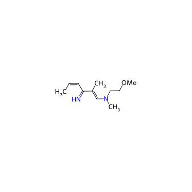 C/C=C\C(=N)/C(C)=C/N(C)CCOC